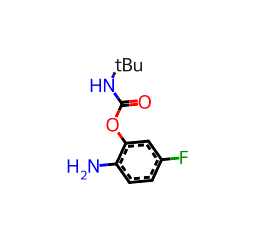 CC(C)(C)NC(=O)Oc1cc(F)ccc1N